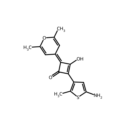 CC1=CC(=C2C(=O)C(c3cc(N)sc3C)=C2O)C=C(C)O1